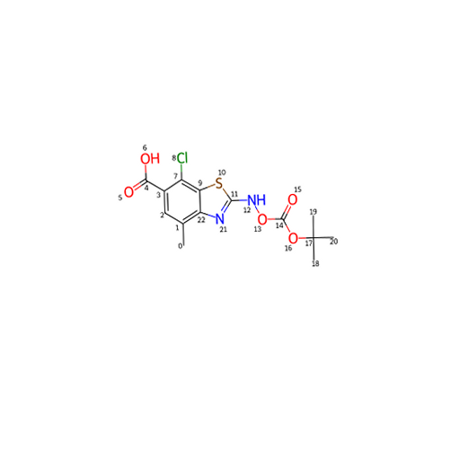 Cc1cc(C(=O)O)c(Cl)c2sc(NOC(=O)OC(C)(C)C)nc12